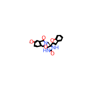 COc1ccc2c(c1)C(=O)N(C[C@@]1(c3cc4ccccc4o3)NC(=O)NC1=O)C2